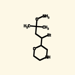 CCC(CC(C)(C)O[SiH3])C1CNCCO1